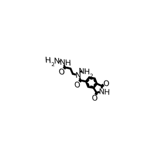 NNC(=O)CCN(N)C(=O)c1ccc2c(c1)C(=O)NC2=O